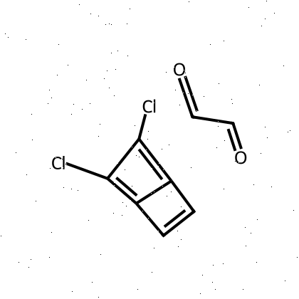 Clc1c2ccc-2c1Cl.O=CC=O